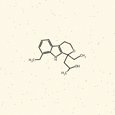 CCc1cccc2c3c([nH]c12)C(CC)(CC(C)O)OCC3